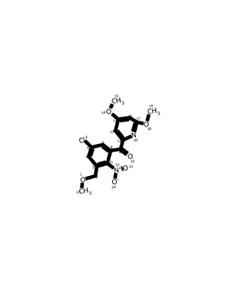 COCc1cc(Cl)cc(C(=O)c2cc(OC)cc(OC)n2)c1[N+](=O)[O-]